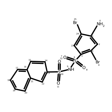 Nc1cc(Br)c(S(=O)(=O)NS(=O)(=O)c2ccc3ccccc3c2)cc1Br